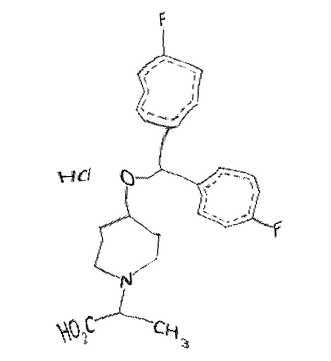 CC(C(=O)O)N1CCC(OC(c2ccc(F)cc2)c2ccc(F)cc2)CC1.Cl